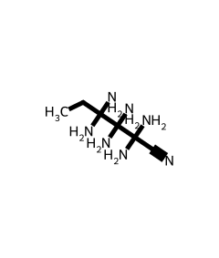 CCC(N)(N)C(N)(N)C(N)(N)C#N